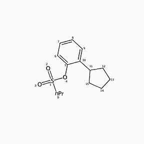 CCCS(=O)(=O)Oc1ccccc1C1CCCC1